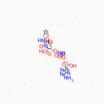 Nc1ncnc2c1ncn2[C@@H]1O[C@H](COS(=O)(=O)NC(=O)OCC2=C(C(=O)O)N3C(=O)[C@@H](NC(=O)Cc4cccs4)[C@H]3[S+]([O-])C2)C[C@H]1O